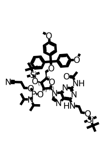 COc1ccc(C(OC[C@H]2O[C@@H](n3cnc4c(NCCO[Si](C)(C)C(C)(C)C)nc(NC(C)=O)nc43)[C@H](OP(OCCC#N)N(C(C)C)C(C)C)[C@H]2O[Si](C)(C)C(C)(C)C)(c2ccccc2)c2ccc(OC)cc2)cc1